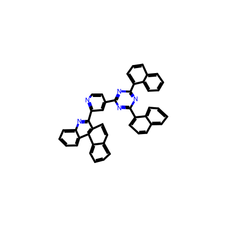 c1ccc2c(-c3nc(-c4ccnc(-c5nc6ccccc6c6c5ccc5ccccc56)c4)nc(-c4cccc5ccccc45)n3)cccc2c1